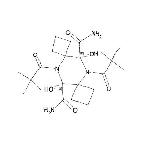 CC(C)(C)C(=O)N1C2(CCC2)[C@@](O)(C(N)=O)N(C(=O)C(C)(C)C)C2(CCC2)[C@@]1(O)C(N)=O